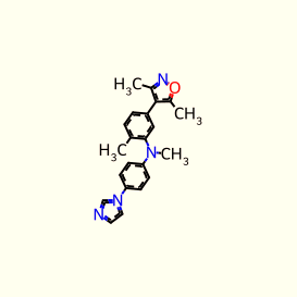 Cc1ccc(-c2c(C)noc2C)cc1N(C)c1ccc(-n2ccnc2)cc1